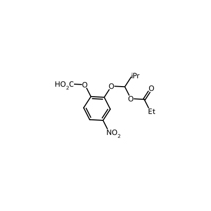 CCC(=O)OC(Oc1cc([N+](=O)[O-])ccc1OC(=O)O)C(C)C